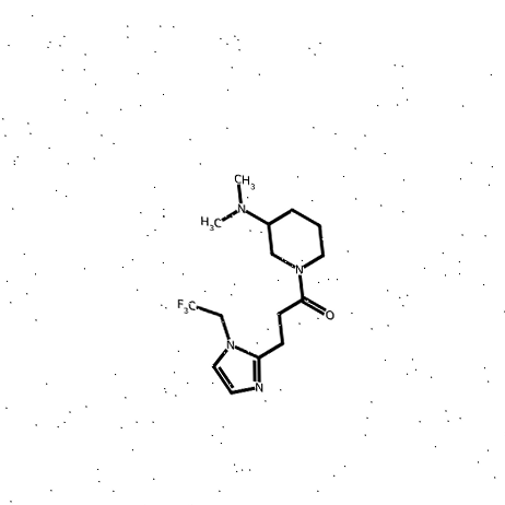 CN(C)C1CCCN(C(=O)CCc2nccn2CC(F)(F)F)C1